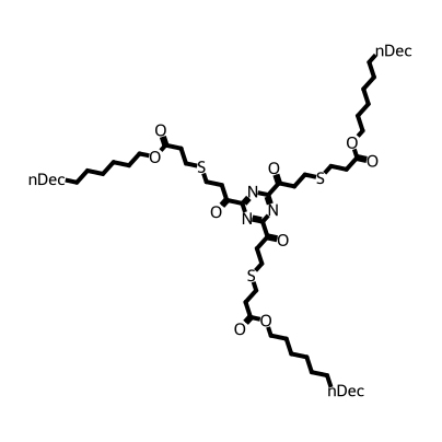 CCCCCCCCCCCCCCCCOC(=O)CCSCCC(=O)c1nc(C(=O)CCSCCC(=O)OCCCCCCCCCCCCCCCC)nc(C(=O)CCSCCC(=O)OCCCCCCCCCCCCCCCC)n1